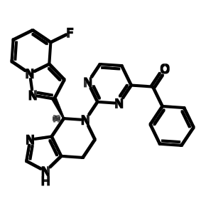 O=C(c1ccccc1)c1ccnc(N2CCc3[nH]cnc3[C@H]2c2cc3c(F)cccn3n2)n1